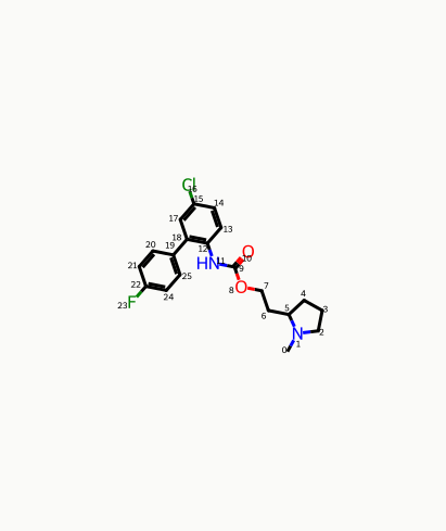 CN1CCCC1CCOC(=O)Nc1ccc(Cl)cc1-c1ccc(F)cc1